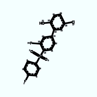 O=S(=O)(c1ccc(F)cc1)c1ccc(-c2cc(Cl)ccc2O)cc1F